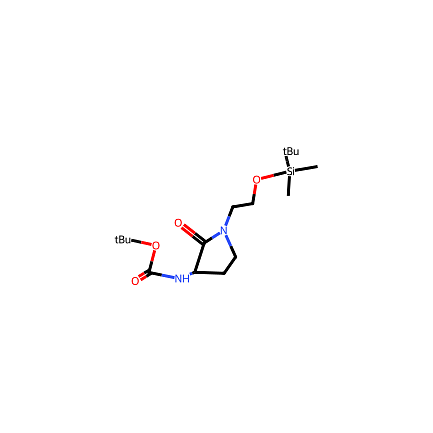 CC(C)(C)OC(=O)NC1CCN(CCO[Si](C)(C)C(C)(C)C)C1=O